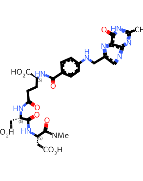 CNC(=O)[C@H](CC(=O)O)NC(=O)[C@H](CC(=O)O)NC(=O)CC[C@H](NC(=O)c1ccc(NCc2cnc3nc(C)[nH]c(=O)c3n2)cc1)C(=O)O